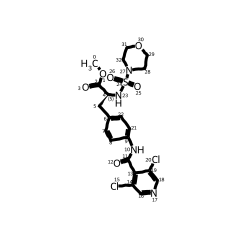 COC(=O)[C@H](Cc1ccc(NC(=O)c2c(Cl)cncc2Cl)cc1)NS(=O)(=O)N1CCOCC1